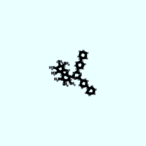 Bc1c(B)c(B)c2c(sc3c(-c4nc(-c5ccc(-c6ccccc6)cc5)nc(-c5ccc(-c6ccccc6)cc5)n4)c(B)c(B)c(B)c32)c1B